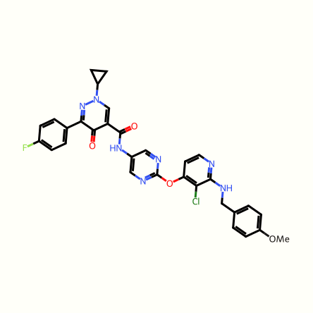 COc1ccc(CNc2nccc(Oc3ncc(NC(=O)c4cn(C5CC5)nc(-c5ccc(F)cc5)c4=O)cn3)c2Cl)cc1